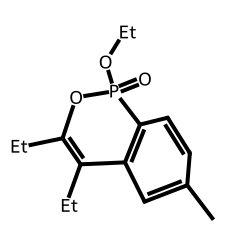 CCOP1(=O)OC(CC)=C(CC)c2cc(C)ccc21